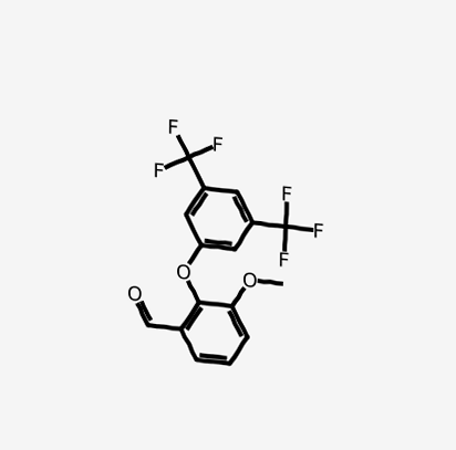 COc1cccc(C=O)c1Oc1cc(C(F)(F)F)cc(C(F)(F)F)c1